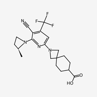 C[C@H]1CCN1c1nc(N2CC3(CCC(C(=O)O)CC3)C2)cc(C(F)(F)F)c1C#N